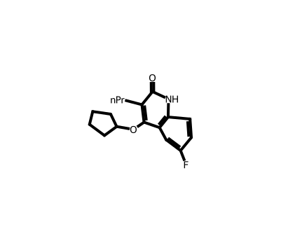 CCCc1c(OC2CCCC2)c2cc(F)ccc2[nH]c1=O